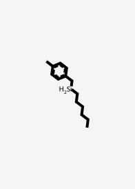 CCCCCC[SiH2]Cc1ccc(C)cc1